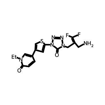 CCn1cc(-c2csc(-n3nnn(CC(CN)=C(F)F)c3=O)c2)ccc1=O